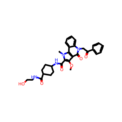 COc1c(C(=O)NC2CCC(C(=O)NCCO)CC2)n(C)c2c1c(=O)n(CC(=O)c1ccccc1)c1ccccc21